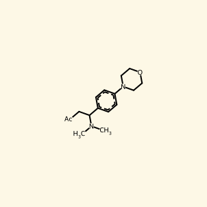 CC(=O)CC(c1ccc(N2CCOCC2)cc1)N(C)C